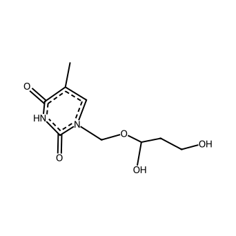 Cc1cn(COC(O)CCO)c(=O)[nH]c1=O